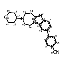 N#Cc1ccc(-c2ccc3nc4n(c3c2)CCN(C2CCOCC2)CC4)cc1